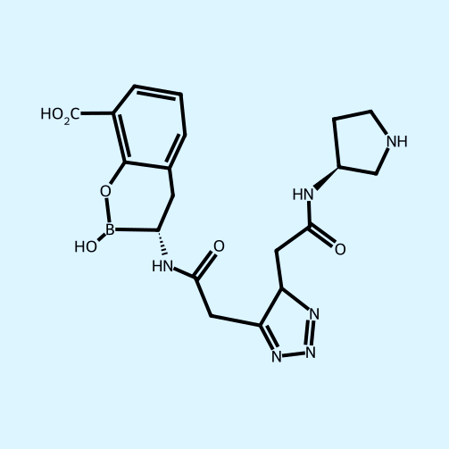 O=C(CC1N=NN=C1CC(=O)N[C@H]1Cc2cccc(C(=O)O)c2OB1O)N[C@H]1CCNC1